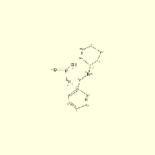 CC(=O)O.c1ccc(CNC2CCCCC2)cc1